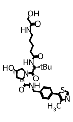 Cc1ncsc1-c1ccc(CNC(=O)[C@@H]2C[C@@H](O)CN2C(=O)[C@@H](NC(=O)CCCCNC(=O)CO)C(C)(C)C)cc1